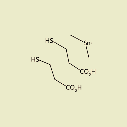 O=C(O)CCS.O=C(O)CCS.[CH3][Sn][CH3]